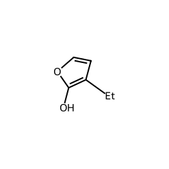 CCc1ccoc1O